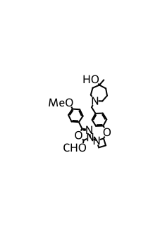 COc1ccc(C2=NN(N3CCC3Oc3ccc(CN4CCCC(C)(O)CC4)cc3)C(C=O)O2)cc1